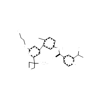 COC1(c2cc(-c3cc(NC(=O)c4ccnc(C(C)F)c4)ccc3C)cc(OCCO)n2)COC1